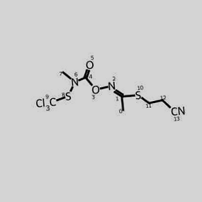 C/C(=N\OC(=O)N(C)SC(Cl)(Cl)Cl)SCCC#N